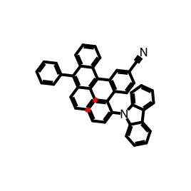 N#Cc1ccc(-c2ccccc2-n2c3ccccc3c3ccccc32)c(-c2c3ccccc3c(-c3ccccc3)c3ccccc23)c1